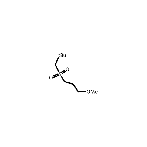 COCCCS(=O)(=O)CC(C)(C)C